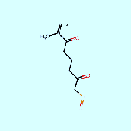 C=C(C)C(=O)CCCC(=O)CP=O